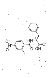 O=C(N[C@@H](Cc1ccccc1)C(=O)O)c1ccc([N+](=O)[O-])cc1F